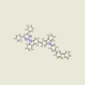 c1ccc(-c2cc(-c3ccccc3)nc(-n3c4ccccc4c4cc(-c5ccc6c(c5)c5ccccc5n6-c5ccc(-c6ccc7sc8ccccc8c7c6)cc5)ccc43)n2)cc1